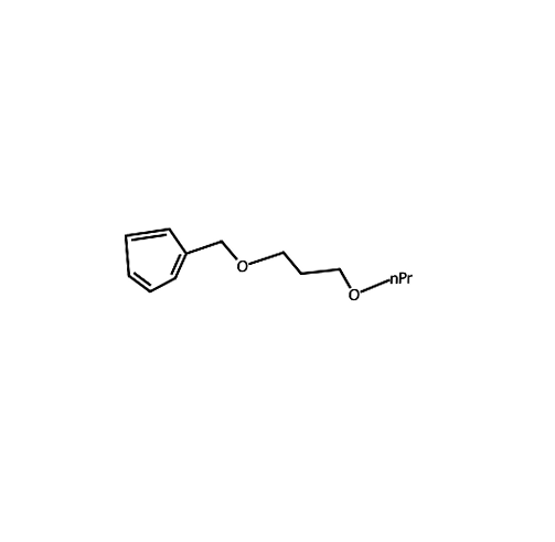 [CH2]CCOCCCOCc1ccccc1